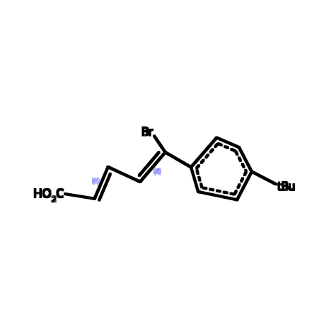 CC(C)(C)c1ccc(/C(Br)=C/C=C/C(=O)O)cc1